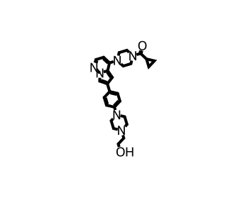 O=C(C1CC1)N1CCN(c2ccnn3cc(-c4ccc(N5CCN(CCO)CC5)cc4)cc23)CC1